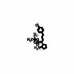 CC(C)(C)OC(=O)N(CCCc1ccc(Cl)cc1)[C@H]1CCCC1N